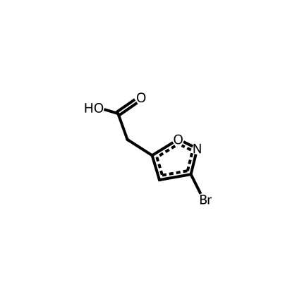 O=C(O)Cc1cc(Br)no1